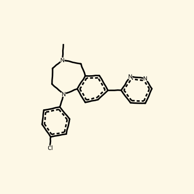 CN1CCN(c2ccc(Cl)cc2)c2ccc(-c3cccnn3)cc2C1